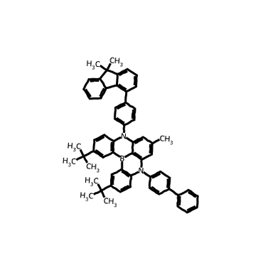 Cc1cc2c3c(c1)N(c1ccc(-c4cccc5c4-c4ccccc4C5(C)C)cc1)c1ccc(C(C)(C)C)cc1B3c1cc(C(C)(C)C)ccc1N2c1ccc(-c2ccccc2)cc1